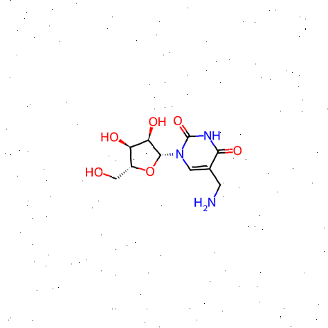 NCc1cn([C@@H]2O[C@H](CO)[C@@H](O)[C@H]2O)c(=O)[nH]c1=O